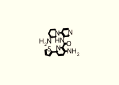 Nc1ccc(-c2cccs2)nc1C(=O)Nc1cnccc1N1CCC[C@H](N)C1